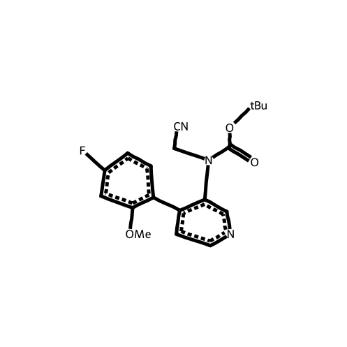 COc1cc(F)ccc1-c1ccncc1N(CC#N)C(=O)OC(C)(C)C